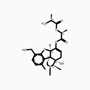 Cc1ccc(CO)c2c1[C@]13CCN(C)[C@H](C)[C@]1(O)CC=C(OC(=O)[C@H](C)OC(=O)[C@H](C)N)[C@@H]3O2